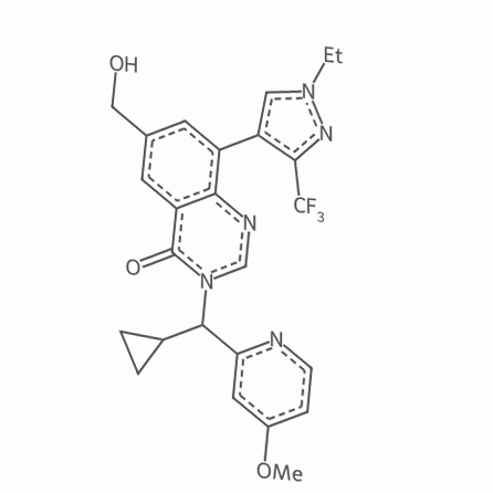 CCn1cc(-c2cc(CO)cc3c(=O)n(C(c4cc(OC)ccn4)C4CC4)cnc23)c(C(F)(F)F)n1